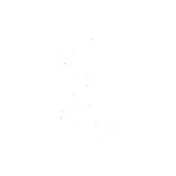 Cc1ccc(C(=O)N(CCCN)[C@@H](c2nc3cc(C)ccc3n2Cc2cccc(F)c2)C(C)C)cc1